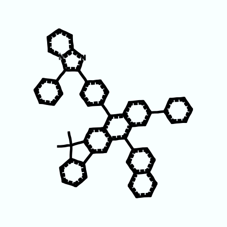 CC1(C)c2ccccc2-c2cc3c(-c4ccc5ccccc5c4)c4cc(-c5ccccc5)ccc4c(-c4ccc(-c5nc6ccccn6c5-c5ccccc5)cc4)c3cc21